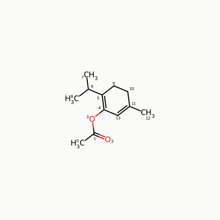 CC(=O)OC1=C(C(C)C)CCC(C)=C1